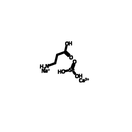 NCCC(=O)O.O=[Se](O)O.[Ca+2].[Na+]